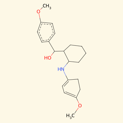 COC1=CC=C(NC2CCCCC2C(O)c2ccc(OC)cc2)CC1